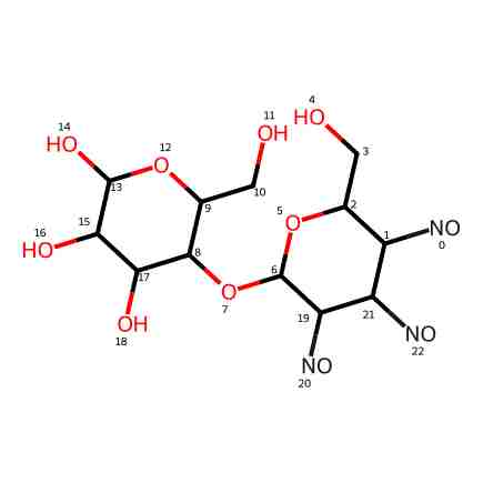 O=NC1C(CO)OC(OC2C(CO)OC(O)C(O)C2O)C(N=O)C1N=O